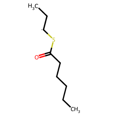 CC[CH]SC(=O)CCCCC